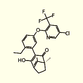 CCc1ccc(Oc2ncc(Cl)cc2C(F)(F)F)cc1C1=C(O)C2=C(C)[C@](C)(CC2)C1=O